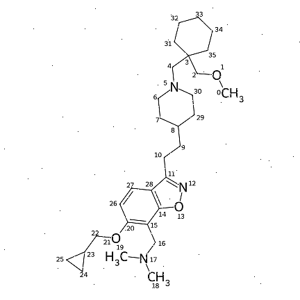 COCC1(CN2CCC(CCc3noc4c(CN(C)C)c(OCC5CC5)ccc34)CC2)CCCCC1